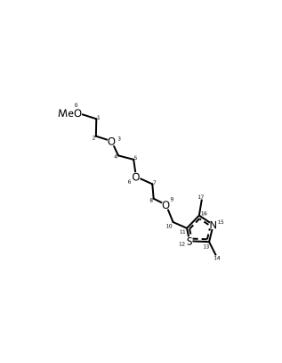 COCCOCCOCCOCc1sc(C)nc1C